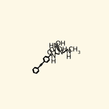 CNCCN=C[C@H](NC(=O)c1ccc(C#Cc2ccccc2)cc1)C(=O)N(O)NO